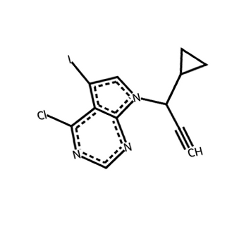 C#CC(C1CC1)n1cc(I)c2c(Cl)ncnc21